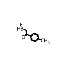 Cc1ccc(C(=O)CBF)cc1